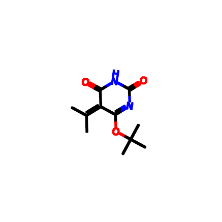 CC(C)=C1C(=O)NC(=O)N=C1OC(C)(C)C